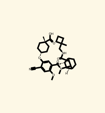 COc1cc(C#N)c(O[C@H]2CC[C@@](C)(C(=O)O)CC2)cc1C(=O)N(C)[C@@H]1C2CCC(CC2)[C@@H]1C(=O)NCC1(C)CCC1